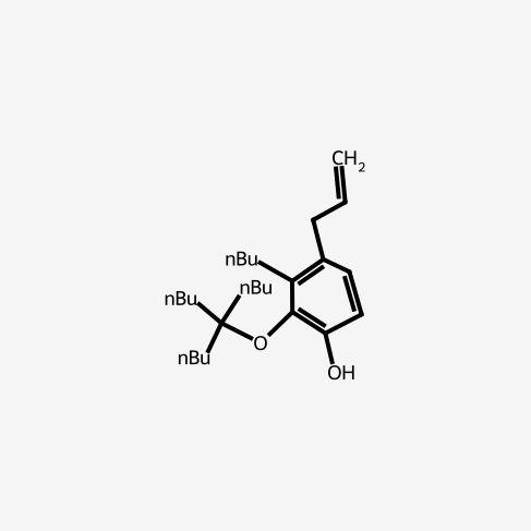 C=CCc1ccc(O)c(OC(CCCC)(CCCC)CCCC)c1CCCC